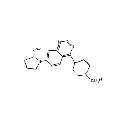 COC1CCCN1c1ccc2c(C3CCN(C(=O)O)CC3)ncnc2c1